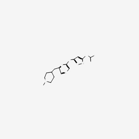 CN1CCC(Cc2cncc(Nc3cc(OC(F)F)[nH]n3)n2)CC1